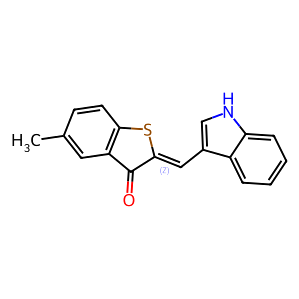 Cc1ccc2c(c1)C(=O)/C(=C/c1c[nH]c3ccccc13)S2